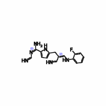 N=C/N=C(/N)c1ccc(C/C(C=N)=C/Nc2ccccc2F)[nH]1